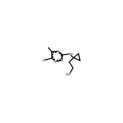 Cc1nc(NC2(CCO)CC2)nnc1Cl